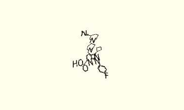 N#CC1CCCN(C2CCN(c3cc(C(=O)O)nc4c3c(C3CCC3)nn4-c3ccc(F)cc3)CC2)C1